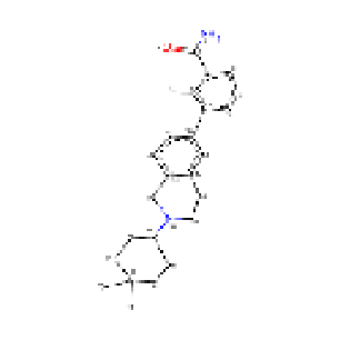 Cc1c(C(N)=O)cccc1-c1ccc2c(c1)CCN(C1CCC(C)(C)CC1)C2